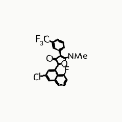 CNC1=C(c2cccc(C(F)(F)F)c2)C(=O)C(c2cc(Cl)cc3cccc(F)c23)O1